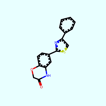 O=C1COc2ccc(-c3nc(-c4ccccc4)cs3)cc2N1